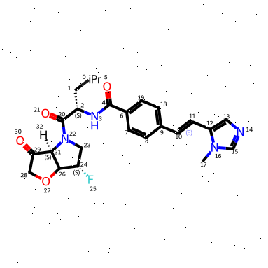 CC(C)C[C@H](NC(=O)c1ccc(/C=C/c2cncn2C)cc1)C(=O)N1C[C@H](F)C2OCC(=O)[C@H]21